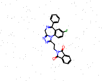 O=C1c2ccccc2C(=O)N1CCc1nnc2n1-c1ccc(F)cc1C(c1ccccc1)=NC2